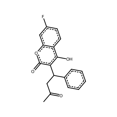 CC(=O)CC(c1ccccc1)c1c(O)c2ccc(F)cc2oc1=O